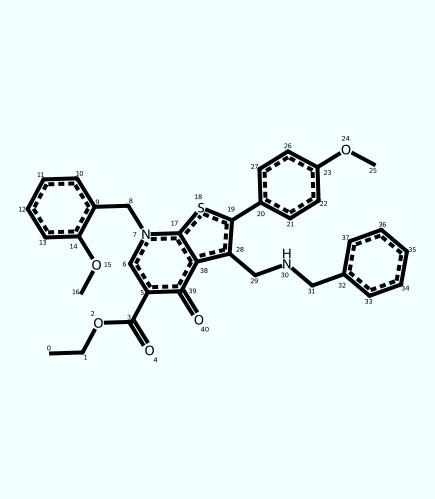 CCOC(=O)c1cn(Cc2ccccc2OC)c2sc(-c3ccc(OC)cc3)c(CNCc3ccccc3)c2c1=O